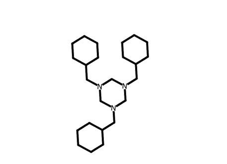 C1CCC(CN2CN(CC3CCCCC3)CN(CC3CCCCC3)C2)CC1